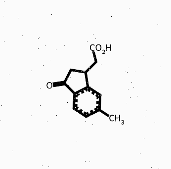 Cc1ccc2c(c1)C(CC(=O)O)CC2=O